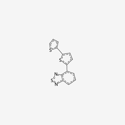 c1csc(-c2ccc(-c3cccc4nsnc34)s2)c1